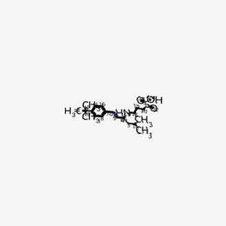 CC(C)C[C@@H](/C=C/c1ccc(C(C)(C)C)cc1)NCCCS(=O)(=O)O